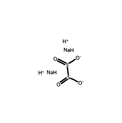 O=S([O-])S(=O)[O-].[H+].[H+].[NaH].[NaH]